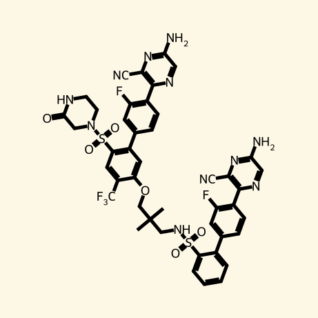 CC(C)(CNS(=O)(=O)c1ccccc1-c1ccc(-c2ncc(N)nc2C#N)c(F)c1)COc1cc(-c2ccc(-c3ncc(N)nc3C#N)c(F)c2)c(S(=O)(=O)N2CCNC(=O)C2)cc1C(F)(F)F